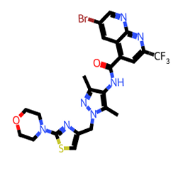 Cc1nn(Cc2csc(N3CCOCC3)n2)c(C)c1NC(=O)c1cc(C(F)(F)F)nc2ncc(Br)cc12